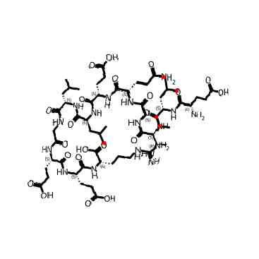 CC(C)C[C@H](NC(=O)[C@H](CC(C)C)NC(=O)[C@H](CCC(=O)O)NC(=O)[C@H](CCC(N)=O)NC(=O)[C@H](CC(C)C)NC(=O)[C@@H](NC(=O)[C@H](CC(C)C)NC(=O)[C@@H](N)CCC(=O)O)[C@@H](C)O)C(=O)NCC(=O)N[C@@H](CCC(=O)O)C(=O)N[C@@H](CCC(=O)O)C(=O)N[C@@H](CCCNC(=N)N)C(=O)O